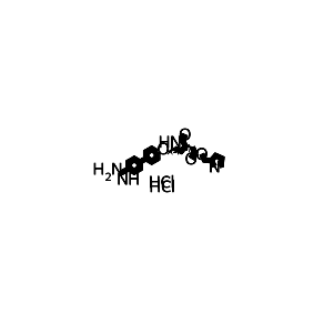 CN1CCCC1COC(=O)C[C@@H]1C[C@@H](COc2ccc(-c3ccc(C(=N)N)cc3)cc2)NC1=O.Cl.Cl